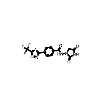 O=C1CN(NC(=O)c2ccc(-c3noc(C(F)(F)F)n3)cc2)C(=O)N1